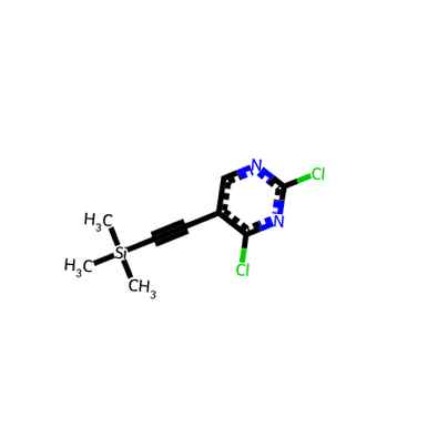 C[Si](C)(C)C#Cc1cnc(Cl)nc1Cl